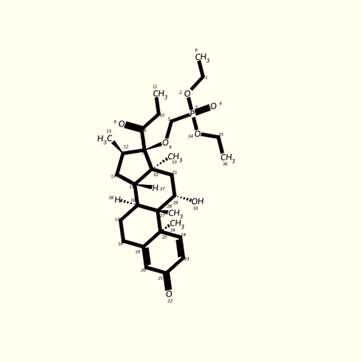 CCOP(=O)(CO[C@]1(C(=O)CC)[C@H](C)C[C@H]2[C@@H]3CCC4=CC(=O)C=C[C@]4(C)[C@@]3(C)[C@@H](O)C[C@@]21C)OCC